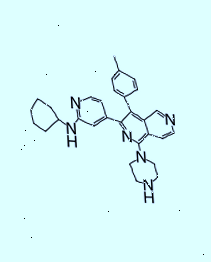 Cc1ccc(-c2c(-c3ccnc(NC4CCCCC4)c3)nc(N3CCNCC3)c3ccncc23)cc1